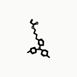 C=CC(=O)OCCCCc1cccc(N(c2ccc(C)cc2)c2ccc(C)cc2)c1